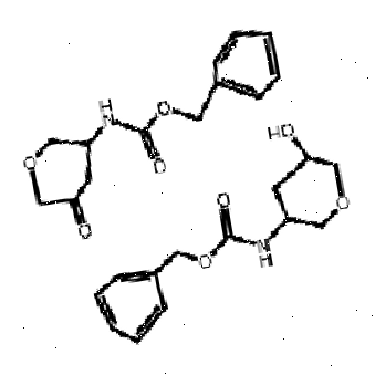 O=C(NC1COCC(O)C1)OCc1ccccc1.O=C1COCC(NC(=O)OCc2ccccc2)C1